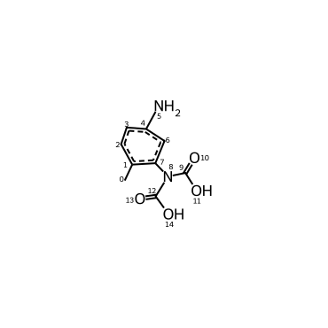 Cc1ccc(N)cc1N(C(=O)O)C(=O)O